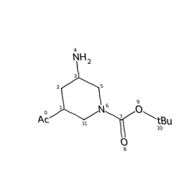 CC(=O)C1CC(N)CN(C(=O)OC(C)(C)C)C1